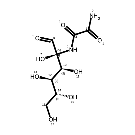 NC(=O)C(=O)N[C@@](O)(C=O)[C@@H](O)[C@H](O)[C@H](O)CO